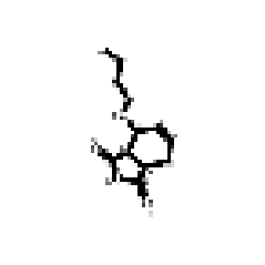 CCCCOC1C=CCC2C(=O)OC(=O)C12